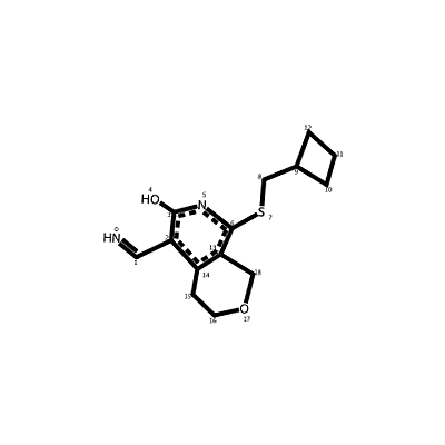 N=Cc1c(O)nc(SCC2CCC2)c2c1CCOC2